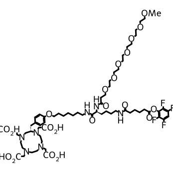 COCCOCCOCCOCCOCCOCCOCCC(=O)N[C@@H](CCCCNC(=O)CCCCC(=O)Oc1c(F)c(F)cc(F)c1F)C(=O)NCCCCCCCOc1ccc(C[C@H]2CN(CC(=O)O)CCN(CC(=O)O)CCN(CC(=O)O)CCN2CC(=O)O)cc1